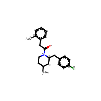 CC(=O)NC1CCN(C(=O)Cc2ccccc2OC(C)=O)C(Cc2ccc(Cl)cc2)C1